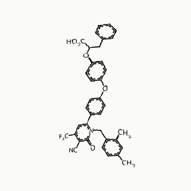 Cc1ccc(Cn2c(-c3ccc(Oc4ccc(OC(Cc5ccccc5)C(=O)O)cc4)cc3)cc(C(F)(F)F)c(C#N)c2=O)c(C)c1